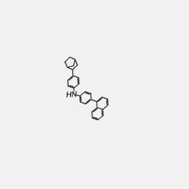 c1ccc2c(-c3ccc(Nc4ccc(C5CC6CCC5C6)cc4)cc3)cccc2c1